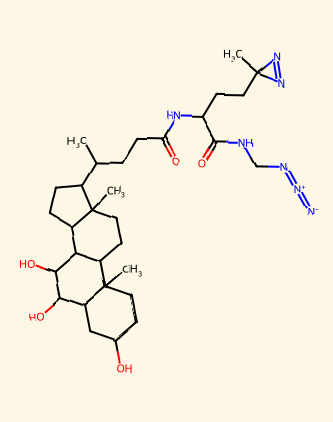 CC(CCC(=O)NC(CCC1(C)N=N1)C(=O)NCN=[N+]=[N-])C1CCC2C3C(O)C(O)C4CC(O)CCC4(C)C3CCC12C